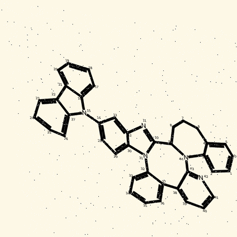 c1ccc2c(c1)CCCC1c3nc4cc(-n5c6ccccc6c6ccccc65)ccc4n3-c3ccccc3-c3cccnc3N21